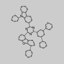 c1ccc(-c2cc(-c3ccccc3)cc(-c3nc(-c4ccc5c6ccccc6n(-c6ccccc6)c5c4)nc(-c4cccc5oc6c(-c7ccccc7)cccc6c45)n3)c2)cc1